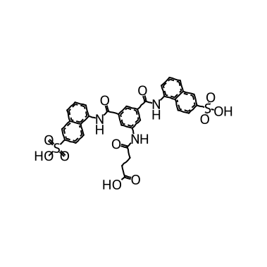 O=C(O)CCC(=O)Nc1cc(C(=O)Nc2cccc3cc(S(=O)(=O)O)ccc23)cc(C(=O)Nc2cccc3cc(S(=O)(=O)O)ccc23)c1